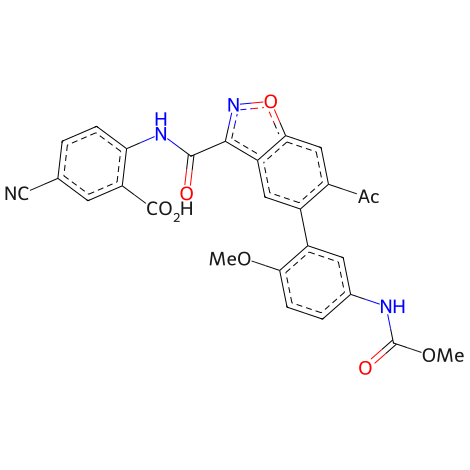 COC(=O)Nc1ccc(OC)c(-c2cc3c(C(=O)Nc4ccc(C#N)cc4C(=O)O)noc3cc2C(C)=O)c1